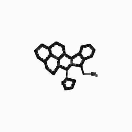 CCn1c2ccccc2c2c3ccc4cccc5ccc(c(-c6cccs6)c21)c3c54